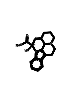 CCC12CCCN3CCc4c(n(c5ccccc45)[C@](O)(C(=O)OC)C1)C32